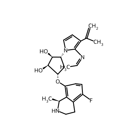 C=C(C)c1ccn([C@@H]2C[C@H](Oc3ccc(F)c4c3[C@H](C)NCC4)[C@@H](O)[C@H]2O)c1/N=C\C